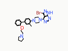 Cc1cc(-c2ccccc2OCCN2CCCC2)ccc1N1CCN(c2ncnc3[nH]nc(Br)c23)CC1